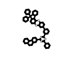 c1ccc(-c2nc(-c3cccc(-c4ccc5c(c4)Oc4ccc6c(c4O5)-c4ccccc4C6(c4ccccc4)c4ccccc4)c3)nc(-c3ccc4c(ccc5ccccc54)c3)n2)cc1